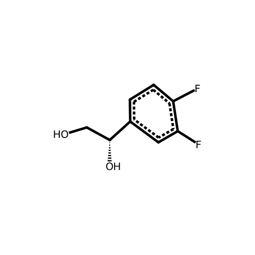 OC[C@@H](O)c1ccc(F)c(F)c1